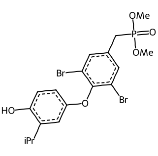 COP(=O)(Cc1cc(Br)c(Oc2ccc(O)c(C(C)C)c2)c(Br)c1)OC